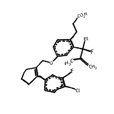 C=C(C)C(F)(CC)c1cc(OCC2=C(c3ccc(Cl)c(F)c3)CCC2)ccc1CCC(=O)O